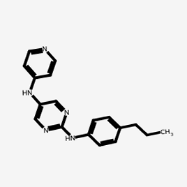 CCCc1ccc(Nc2ncc(Nc3ccncc3)cn2)cc1